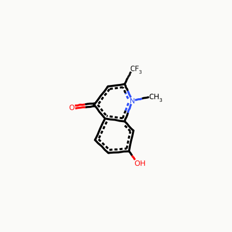 Cn1c(C(F)(F)F)cc(=O)c2ccc(O)cc21